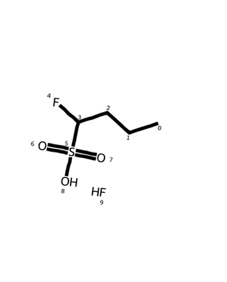 CCCC(F)S(=O)(=O)O.F